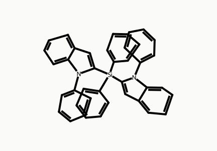 c1ccc(-n2c([Si](c3ccccc3)(c3ccccc3)c3cc4ccccc4n3-c3ccccc3)cc3ccccc32)cc1